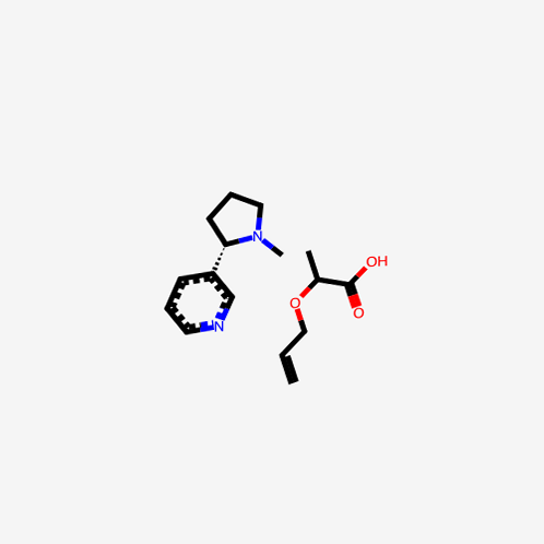 C=CCOC(C)C(=O)O.CN1CCC[C@H]1c1cccnc1